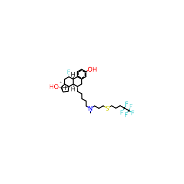 CN(CCCCC[C@@H]1Cc2cc(O)ccc2[C@@H]2[C@@H]1[C@@H]1CC[C@H](O)[C@@]1(C)C[C@@H]2F)CCCSCCCC(F)(F)C(F)(F)F